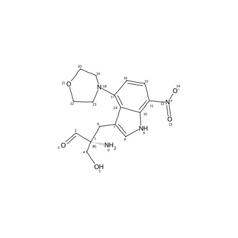 N[C@@](C=O)(CO)Cc1c[nH]c2c([N+](=O)[O-])ccc(N3CCOCC3)c12